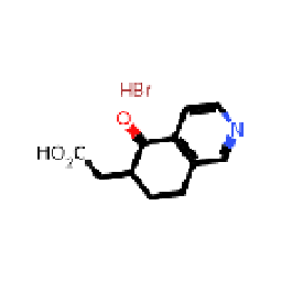 Br.O=C(O)CC1CCc2cnccc2C1=O